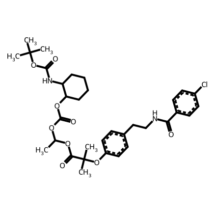 CC(OC(=O)OC1CCCCC1NC(=O)OC(C)(C)C)OC(=O)C(C)(C)Oc1ccc(CCNC(=O)c2ccc(Cl)cc2)cc1